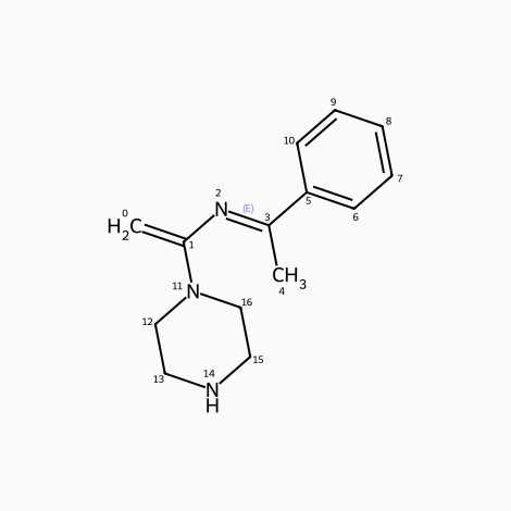 C=C(/N=C(\C)c1ccccc1)N1CCNCC1